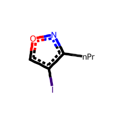 CCCc1nocc1I